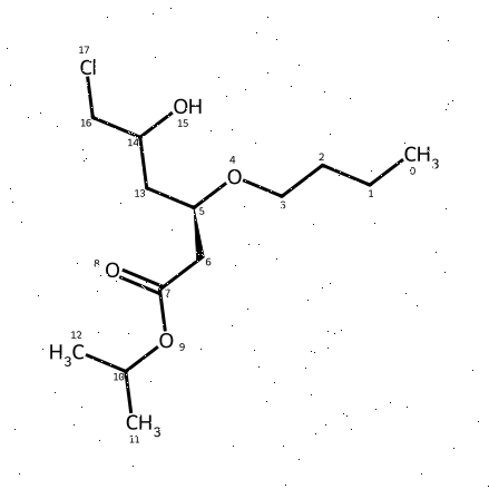 CCCCO[C@@H](CC(=O)OC(C)C)CC(O)CCl